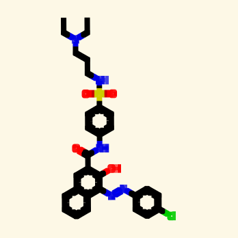 CCN(CC)CCCNS(=O)(=O)c1ccc(NC(=O)c2cc3ccccc3c(N=Nc3ccc(Cl)cc3)c2O)cc1